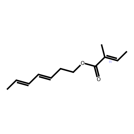 CC=CC=CCCOC(=O)/C(C)=C/C